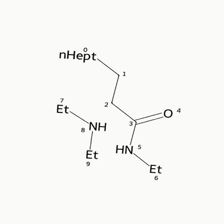 CCCCCCCCCC(=O)NCC.CCNCC